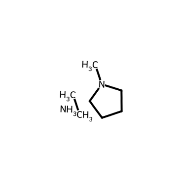 CC.CN1CCCC1.N